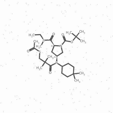 CCN(C)C(=O)[C@@H]1C[C@H](N(C(=O)C(C)(C)CSC(C)=O)C2CCC(C)(C)CC2)CN1C(=O)OC(C)(C)C